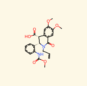 C=CCN1C(=O)c2cc(OC)c(OC)cc2[C@@H](C(=O)O)[C@H]1c1ccccc1NC(=O)OC